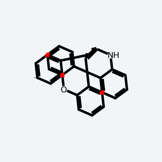 [c]1ccc(-c2cccc3c2C2(c4ccccc4N3)c3ccccc3Oc3ccccc32)cc1